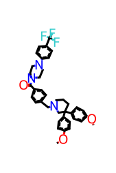 COc1ccc(C2(c3ccc(OC)cc3)CCCN(Cc3ccc(C(=O)N4CCN(c5ccc(C(F)(F)F)cc5)CC4)cc3)C2)cc1